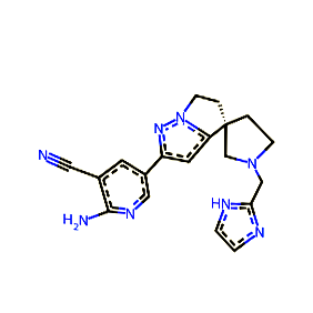 N#Cc1cc(-c2cc3n(n2)CC[C@@]32CCN(Cc3ncc[nH]3)C2)cnc1N